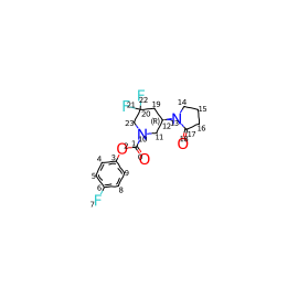 O=C(Oc1ccc(F)cc1)N1C[C@H](N2CCCC2=O)CC(F)(F)C1